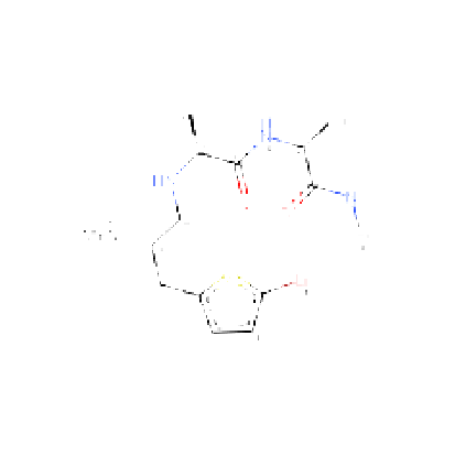 CCNC(=O)[C@@H](NC(=O)[C@H](C)NC[C@H](Cc1ccc(Br)s1)NC)C(C)C